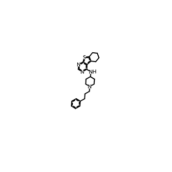 c1ccc(CCCN2CCC(Nc3ncnc4sc5c(c34)CCCC5)CC2)cc1